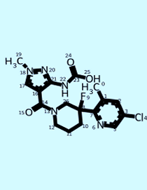 Cc1cc(Cl)cnc1C1(F)CCCN(C(=O)c2cn(C)nc2NC(=O)O)C1